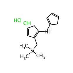 C[Si](C)(C)CC1=[C]([Hf][C]2=CC=CC2)CC=C1.Cl.Cl